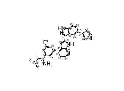 CN(C)CC(N)c1cc(F)cc(-c2ccnc3[nH]c(-c4n[nH]c5ccc(-c6cn[nH]c6)cc45)nc23)c1